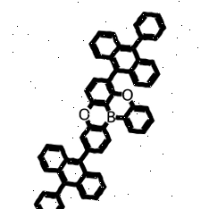 c1ccc(-c2c3ccccc3c(-c3ccc4c(c3)Oc3ccc(-c5c6ccccc6c(-c6ccccc6)c6ccccc56)c5c3B4c3ccccc3O5)c3ccccc23)cc1